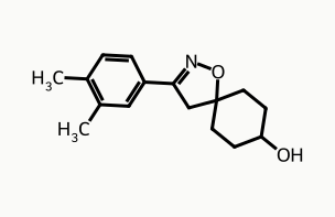 Cc1ccc(C2=NOC3(CCC(O)CC3)C2)cc1C